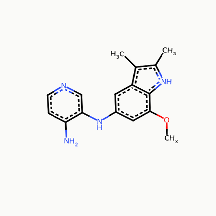 COc1cc(Nc2cnccc2N)cc2c(C)c(C)[nH]c12